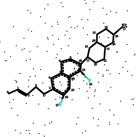 C/C=C/CCc1cc2ccc(C3CCC4CC(CC)CCC4C3)c(F)c2cc1F